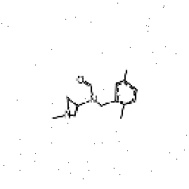 Cc1ccc(C)c(CN(C=O)C2CN(C)C2)c1